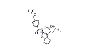 CCC(C(=O)O)n1/c(=N/C(=O)c2ccc(COC)cc2)sc2ccccc21